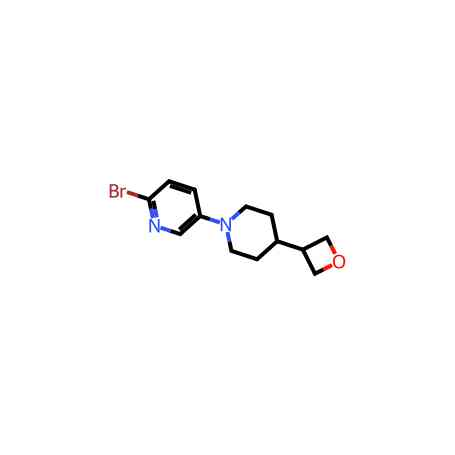 Brc1ccc(N2CCC(C3COC3)CC2)cn1